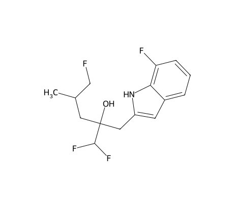 CC(CF)CC(O)(Cc1cc2cccc(F)c2[nH]1)C(F)F